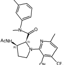 CC(=O)N[C@@H]1CCN(c2nc(C)cc(C(F)(F)F)c2C#N)[C@@H]1C(=O)N(C)c1cccc(C)c1